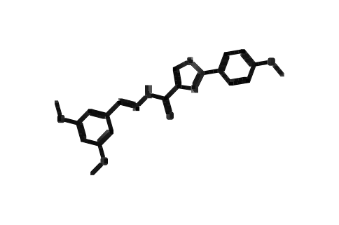 COc1ccc(-c2nc(C(=O)N/N=C/c3cc(OC)cc(OC)c3)cs2)cc1